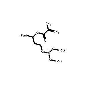 C=C(C)C(=O)OC(CCCCC)CCO[SiH](OCCCCCCCC)OCCCCCCCC